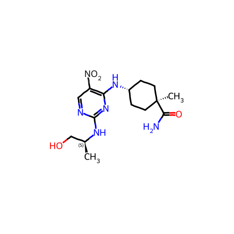 C[C@@H](CO)Nc1ncc([N+](=O)[O-])c(N[C@H]2CC[C@](C)(C(N)=O)CC2)n1